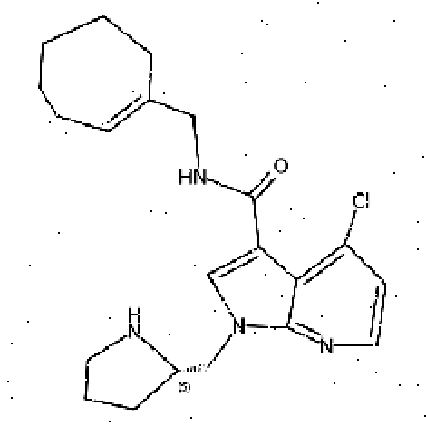 O=C(NCC1=CCCCCC1)c1cn(C[C@@H]2CCCN2)c2nccc(Cl)c12